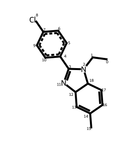 CCN1C(c2ccc(Cl)cc2)=NC2C=C(C)C=CC21